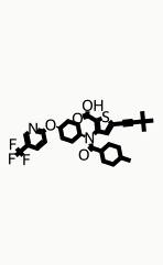 CC1CCC(C(=O)N(c2cc(C#CC(C)(C)C)sc2C(=O)O)[C@H]2CC[C@H](Oc3ccc(C(F)(F)F)cn3)CC2)CC1